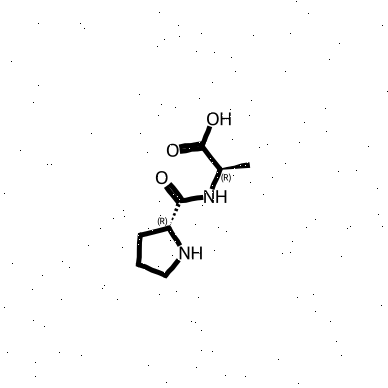 C[C@@H](NC(=O)[C@H]1CCCN1)C(=O)O